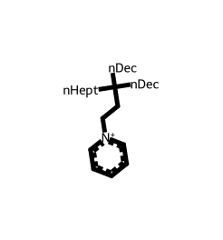 CCCCCCCCCCC(CCCCCCC)(CCCCCCCCCC)CC[n+]1ccccc1